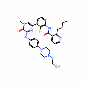 CCCCc1ncccc1C(=O)Nc1cccc(-c2cn(C)c(=O)c(Nc3ccc(N4CCN(CCO)CC4)cc3)n2)c1F